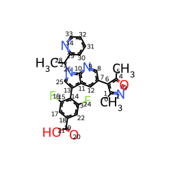 Cc1noc(C)c1-c1cnc2c(c1)c(-c1c(F)cc(C(=O)O)cc1F)cn2C(C)c1ccccn1